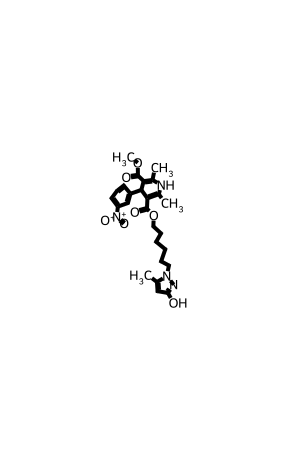 COC(=O)C1=C(C)NC(C)=C(C(=O)OCCCCCCn2nc(O)cc2C)C1c1cccc([N+](=O)[O-])c1